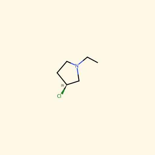 CCN1CC[C@H](Cl)C1